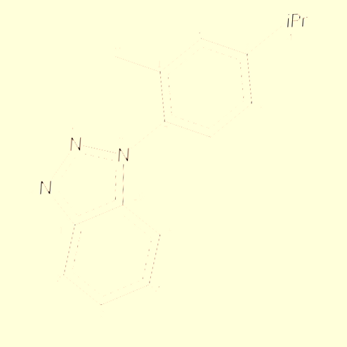 Cc1cc(C(C)C)ccc1-n1nnc2ccccc21